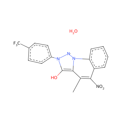 CC1=C([N+](=O)[O-])c2ccccc2N2[N]N(c3ccc(C(F)(F)F)cc3)C(O)=C12.O